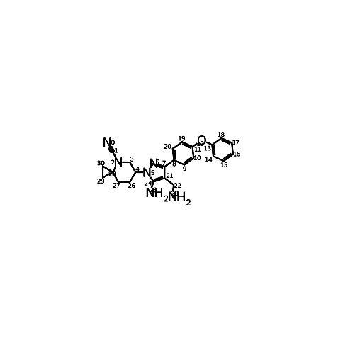 N#CN1CC(n2nc(-c3ccc(Oc4ccccc4)cc3)c(CN)c2N)CCC12CC2